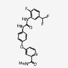 CNC(=O)c1cc(Oc2ccc(NC(=O)Nc3cc(C(F)F)ccc3F)cc2)ccn1